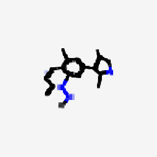 C=C/C=C\c1c(C)cc(C2=C(C)CN=C2C)cc1NNC(C)C